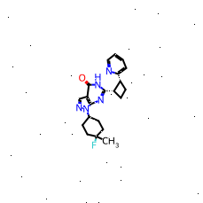 CC1(F)CCC(n2ncc3c(=O)[nH]c([C@H]4CC[C@H]4c4ccccn4)nc32)CC1